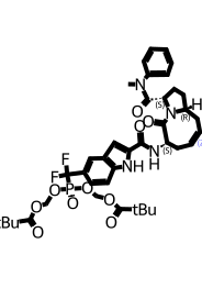 CN(C(=O)[C@@H]1CC[C@@H]2C/C=C\C[C@H](NC(=O)c3cc4cc(C(F)(F)P(=O)(OCOC(=O)C(C)(C)C)OCOC(=O)C(C)(C)C)ccc4[nH]3)C(=O)N21)c1ccccc1